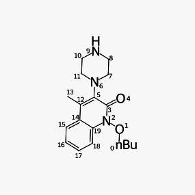 CCCCOn1c(=O)c(N2CCNCC2)c(C)c2ccccc21